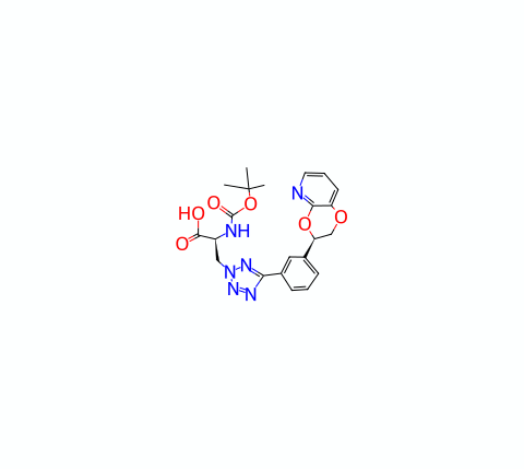 CC(C)(C)OC(=O)N[C@@H](Cn1nnc(-c2cccc([C@@H]3COc4cccnc4O3)c2)n1)C(=O)O